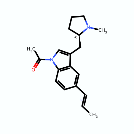 C/C=C/c1ccc2c(c1)c(C[C@H]1CCCN1C)cn2C(C)=O